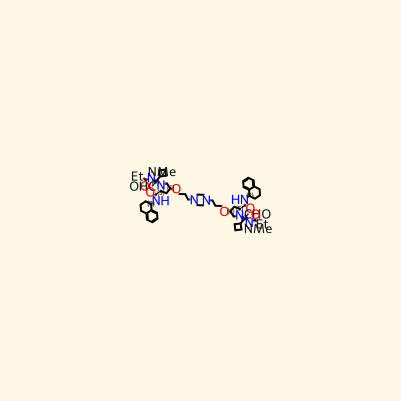 CCC(=O)N(NC)[C@](C=O)(C1CCC1)N1C[C@@H](OCCCN2CCN(CCCO[C@H]3C[C@@H](C(=O)N[C@@H]4CCCc5ccccc54)N([C@@](C=O)(C4CCC4)N(NC)C(=O)CC)C3)CC2)C[C@H]1C(=O)N[C@@H]1CCCc2ccccc21